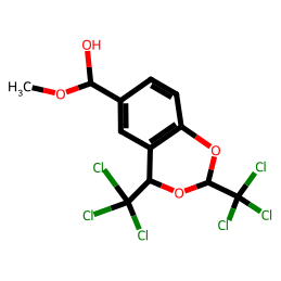 COC(O)c1ccc2c(c1)C(C(Cl)(Cl)Cl)OC(C(Cl)(Cl)Cl)O2